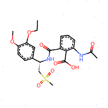 CCOc1cc([C@@H](CS(C)(=O)=O)NC(=O)c2cccc(NC(C)=O)c2C(=O)O)ccc1OC